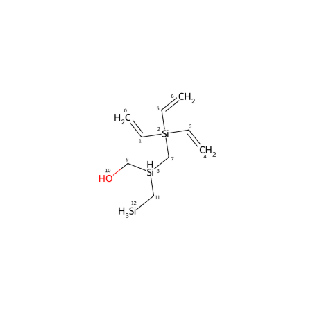 C=C[Si](C=C)(C=C)C[SiH](CO)C[SiH3]